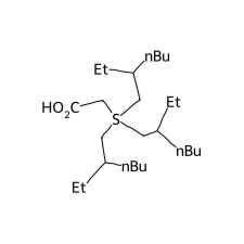 CCCCC(CC)CS(CC(=O)O)(CC(CC)CCCC)CC(CC)CCCC